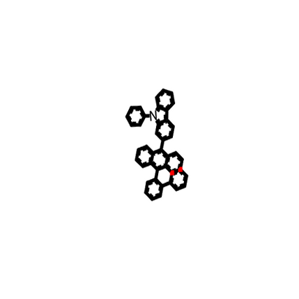 c1ccc(-c2ccccc2-c2c3ccccc3c(-c3ccc4c5ccccc5n(-c5ccccc5)c4c3)c3ccccc23)cc1